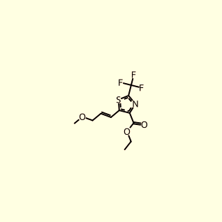 CCOC(=O)c1nc(C(F)(F)F)sc1C=CCOC